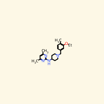 CCOc1cc(CN2CCC(Nc3nc(C)cc(C)n3)CC2)ccc1C